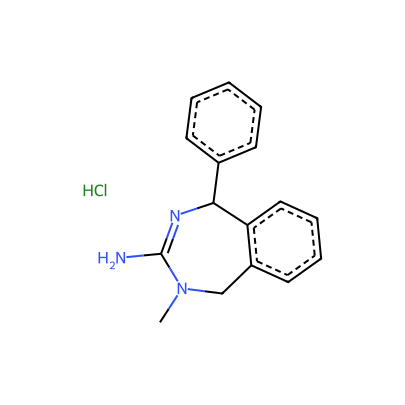 CN1Cc2ccccc2C(c2ccccc2)N=C1N.Cl